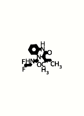 CC[C@H](C)[C@H]1C(=O)Nc2ccccc2N1C(=O)NCC(F)F